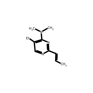 C/C=C/c1ncc(CC)c(N(C)C)n1